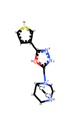 c1cc(-c2nnc(N3CCN4CCC3CC4)o2)cs1